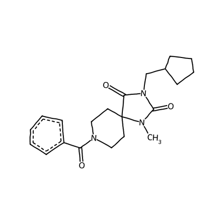 CN1C(=O)N(CC2CCCC2)C(=O)C12CCN(C(=O)c1ccccc1)CC2